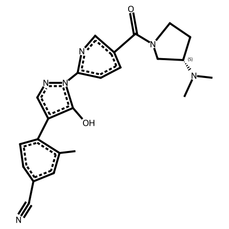 Cc1cc(C#N)ccc1-c1cnn(-c2ccc(C(=O)N3CC[C@H](N(C)C)C3)cn2)c1O